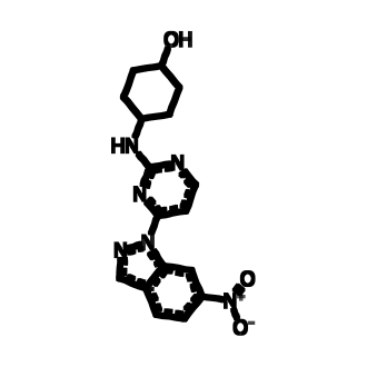 O=[N+]([O-])c1ccc2cnn(-c3ccnc(NC4CCC(O)CC4)n3)c2c1